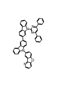 c1ccc(-c2cc(-c3ccccc3)nc(-n3c4ccccc4c4ccc(-c5ccc6c(c5)c5ccccc5n6-c5ccc6oc7cccnc7c6c5)cc43)n2)cc1